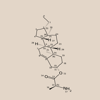 CC[C@H]1CC[C@H]2[C@@H]3CC=C4C[C@@H](OC(=O)[C@H](C)N)CC[C@]4(C)[C@H]3CC[C@]12C